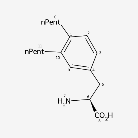 CCCCCc1ccc(C[C@H](N)C(=O)O)cc1CCCCC